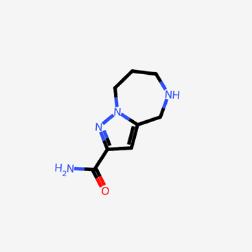 NC(=O)c1cc2n(n1)CCCNC2